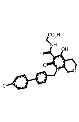 O=C(O)CNC(=O)c1c(O)c2c(n(Cc3ccc(-c4ccc(Cl)cc4)cc3)c1=O)COCC2